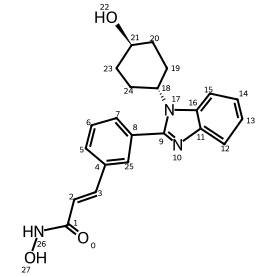 O=C(C=Cc1cccc(-c2nc3ccccc3n2[C@H]2CC[C@H](O)CC2)c1)NO